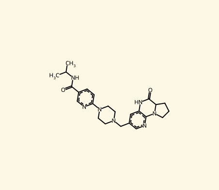 CC(C)NC(=O)c1ccc(N2CCN(Cc3cnc4c(c3)NC(=O)C3CCCN43)CC2)nc1